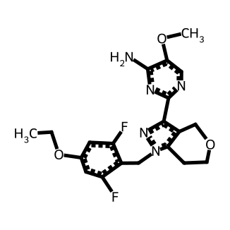 CCOc1cc(F)c(Cn2nc(-c3ncc(OC)c(N)n3)c3c2CCOC3)c(F)c1